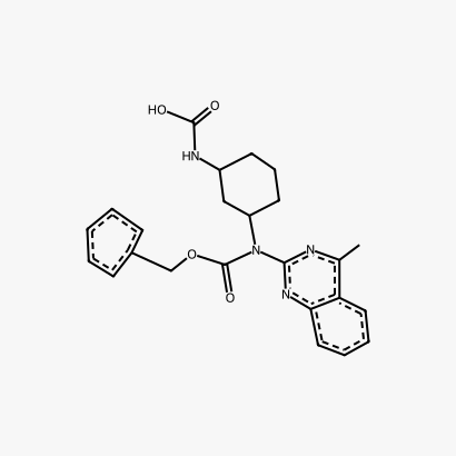 Cc1nc(N(C(=O)OCc2ccccc2)C2CCCC(NC(=O)O)C2)nc2ccccc12